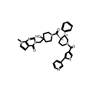 Cn1ccc2c(=O)n(CC3(O)CCN(C(=O)[C@@H]4CCN(C(=O)c5csc(-c6cccnc6)c5)C[C@H]4c4ccccc4)CC3)cnc21